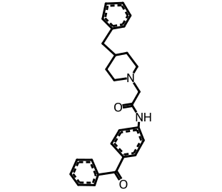 O=C(CN1CCC(Cc2ccccc2)CC1)Nc1ccc(C(=O)c2ccccc2)cc1